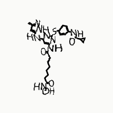 Cc1cc(Nc2cc(NC(=O)CCCCCCC(=O)NO)nc(Sc3ccc(NC(=O)C4CC4)cc3)n2)[nH]n1